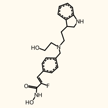 O=C(NO)/C(F)=C/c1ccc(CN(CCO)CCC2CNc3ccccc32)cc1